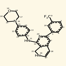 FC(F)(F)c1cccc(-c2cc3c(c(Nc4ccc(N5CCOCC5)cc4)n2)CNC=C3)c1